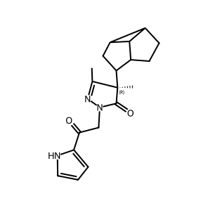 CC1=NN(CC(=O)c2ccc[nH]2)C(=O)[C@]1(C)C1CC2C3CCC1C32